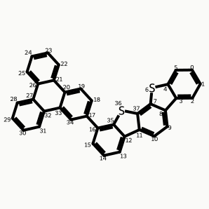 c1ccc2c(c1)sc1c2ccc2c3cccc(-c4ccc5c6ccccc6c6ccccc6c5c4)c3sc21